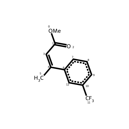 COC(=O)/C=C(/C)c1cccc(C(F)(F)F)c1